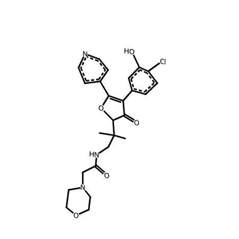 CC(C)(CNC(=O)CN1CCOCC1)C1OC(c2ccncc2)=C(c2ccc(Cl)c(O)c2)C1=O